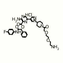 Cl.NCCOCCOCC(=O)N1CCC(n2cc(-c3cnc(N)c(C(=O)O[C@@H](C(=O)Nc4ccc(F)cc4)c4ccccc4)n3)cn2)CC1